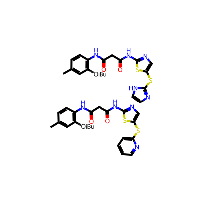 Cc1ccc(NC(=O)CC(=O)Nc2ncc(Sc3ccccn3)s2)c(OCC(C)C)c1.Cc1ccc(NC(=O)CC(=O)Nc2ncc(Sc3ncc[nH]3)s2)c(OCC(C)C)c1